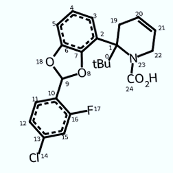 CC(C)(C)C1(c2cccc3c2OC(c2ccc(Cl)cc2F)O3)CC=CCN1C(=O)O